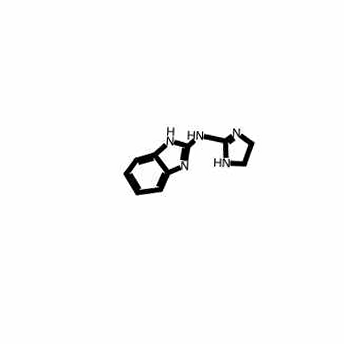 c1ccc2[nH]c(NC3=NCCN3)nc2c1